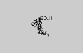 CC1=C(C(=O)N2CCN(c3cccc(C(F)(F)F)c3)CC2)C2(CCN(CC(=O)O)CC2)OC1=O